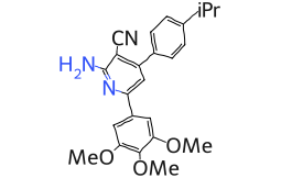 COc1cc(-c2cc(-c3ccc(C(C)C)cc3)c(C#N)c(N)n2)cc(OC)c1OC